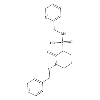 O=C1C(P(=O)(O)NCc2ccccn2)CCCN1OCc1ccccc1